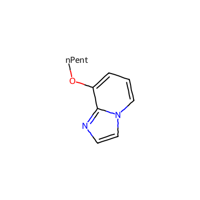 CCCCCOc1cccn2ccnc12